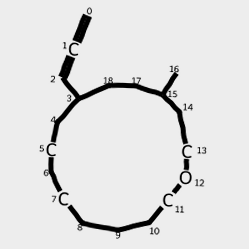 C=C=CC1CCCCCCCCOCCC(C)CC1